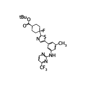 Cc1cc(Nc2nccc(C(F)(F)F)n2)cc(-c2cnc([C@]3(F)CC[C@@H](C(=O)OC(C)(C)C)CC3)s2)c1